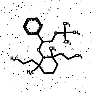 CCCC1(C)CCCC(C)(CCC)N1OC(COC(C)(C)C)c1ccccc1